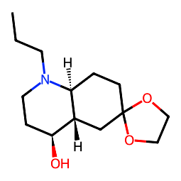 CCCN1CC[C@H](O)[C@H]2CC3(CC[C@@H]21)OCCO3